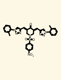 Cc1ccccc1-n1cc(C=C2CN(S(=O)(=O)c3ccc([N+](=O)[O-])cc3)CC(=Cc3cn(-c4ccccc4C)nn3)C2=O)nn1